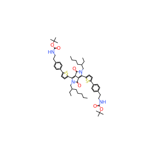 CCCCCC(CC)CN1C(=O)C2=C(c3ccc(-c4ccc(CCNC(=O)OC(C)(C)C)cc4)s3)N(CC(CC)CCCC)C(=O)C2=C1c1ccc(-c2ccc(CCNC(=O)OC(C)(C)C)cc2)s1